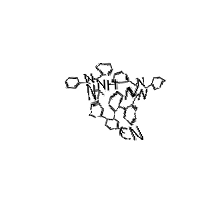 CC1(c2cccc(-c3ccc(C#N)cc3-c3ccccc3-c3ccccc3-c3nc(-c4ccccc4)nc(-c4ccccc4)n3)c2)N=C(c2ccccc2)N=C(c2ccccc2)N1